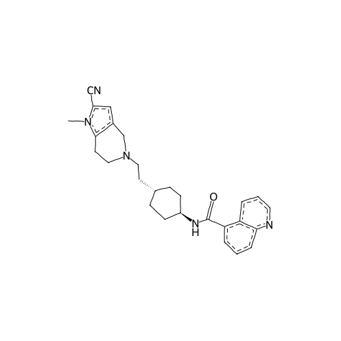 Cn1c(C#N)cc2c1CCN(CC[C@H]1CC[C@H](NC(=O)c3cccc4ncccc34)CC1)C2